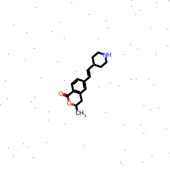 CC1Cc2cc(/C=C/C3CCNCC3)ccc2C(=O)O1